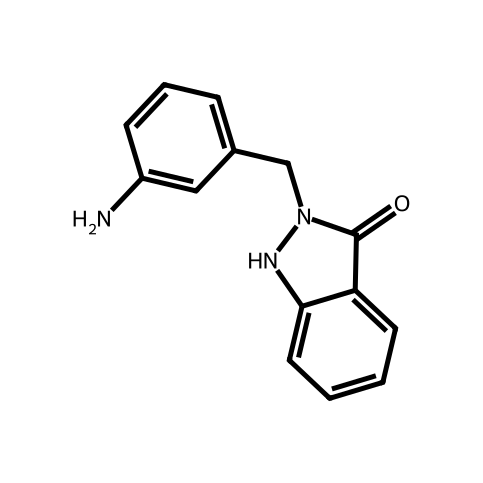 Nc1cccc(Cn2[nH]c3ccccc3c2=O)c1